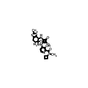 Cc1nc2c(s1)C(Nc1c(Nc3ccnc(C(=O)N(C)C4CCC4)c3O)c(=O)c1=O)C(C)(C)CC2